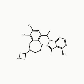 Cc1nn(C(C)c2cc(Cl)c(C#N)c3c2OCCN(C2CNC2)C3)c2ncnc(N)c12